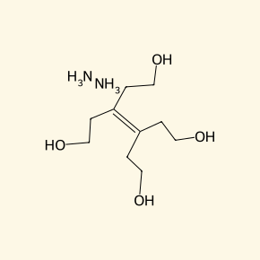 N.N.OCCC(CCO)=C(CCO)CCO